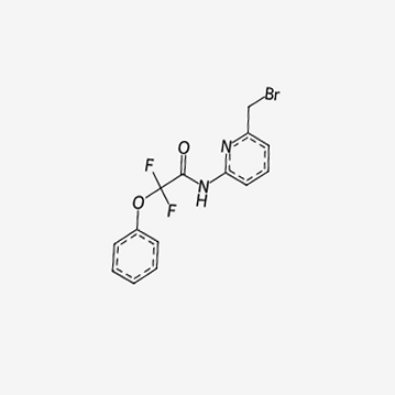 O=C(Nc1cccc(CBr)n1)C(F)(F)Oc1ccccc1